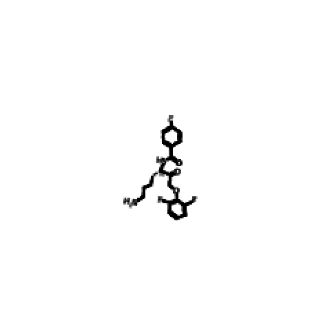 NCCCC[C@H](NC(=O)c1ccc(F)cc1)C(=O)COc1c(F)cccc1F